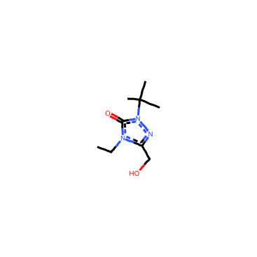 CCn1c(CO)nn(C(C)(C)C)c1=O